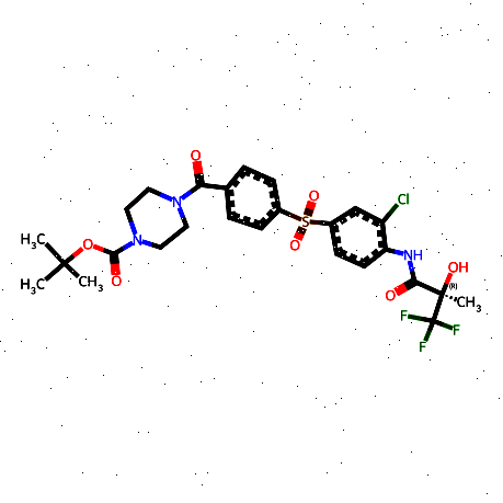 CC(C)(C)OC(=O)N1CCN(C(=O)c2ccc(S(=O)(=O)c3ccc(NC(=O)[C@@](C)(O)C(F)(F)F)c(Cl)c3)cc2)CC1